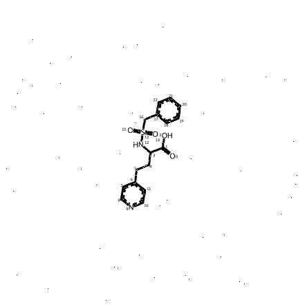 O=C(O)C(CCc1ccncc1)NS(=O)(=O)Cc1ccccc1